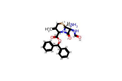 C=C1CS[C@@H]2N(C(=O)[C@]2(N)NC=O)C1C(=O)OC(c1ccccc1)c1ccccc1